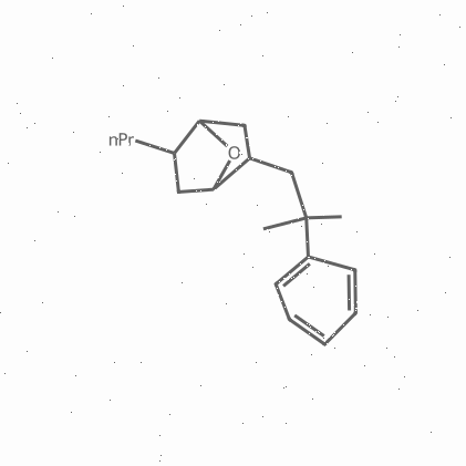 CCCC1CC2OC1CC2CC(C)(C)c1ccccc1